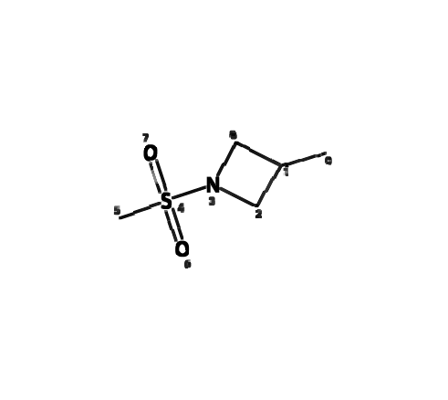 C[C]1CN(S(C)(=O)=O)C1